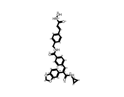 O=C(/C=C/c1ccc(CNC(=O)c2ccc(/C=C(/C(=O)NC3CC3)c3ccc4c(c3)OCO4)cc2)cc1)NO